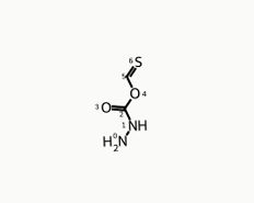 NNC(=O)OC=S